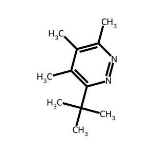 Cc1nnc(C(C)(C)C)c(C)c1C